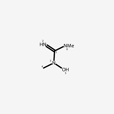 CNC(=N)N(C)O